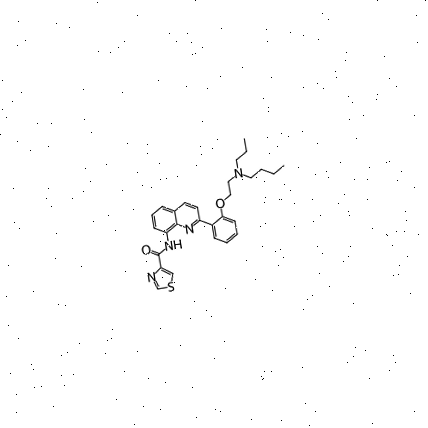 CCCCN(CCC)CCOc1ccccc1-c1ccc2cccc(NC(=O)c3cscn3)c2n1